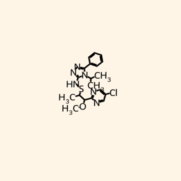 COC(c1ncc(Cl)cn1)C(C)SNc1nnc(-c2ccccc2)n1C(C)C